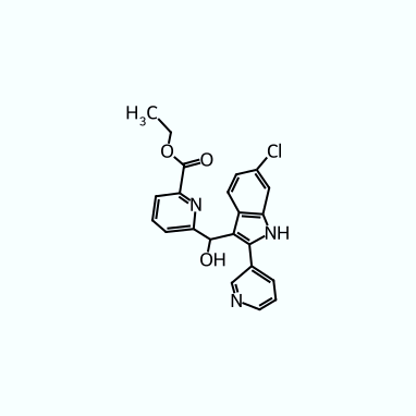 CCOC(=O)c1cccc(C(O)c2c(-c3cccnc3)[nH]c3cc(Cl)ccc23)n1